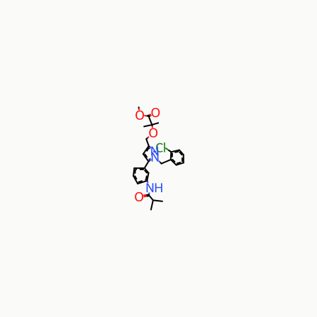 COC(=O)C(C)(C)OCc1cc(-c2cccc(NC(=O)C(C)C)c2)n(Cc2ccccc2Cl)n1